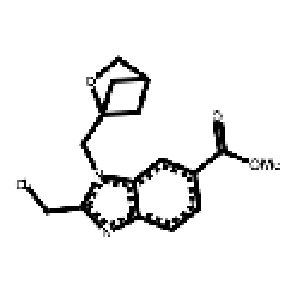 COC(=O)c1ccc2nc(CCl)n(CC34CC(CO3)C4)c2c1